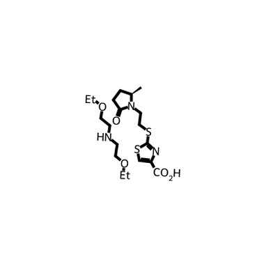 CCOCCNCCOCC.C[C@@H]1CCC(=O)N1CCSc1nc(C(=O)O)cs1